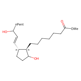 CCCCCC(O)C=C[C@H]1CCC(O)[C@@H]1CCCCCCC(=O)OC